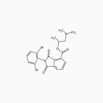 CC(CN(C)C)OC(=O)c1cccc2c1C(=O)N(c1c(C(C)C)cccc1C(C)C)C2=O